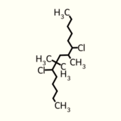 CCCCCC(Cl)C(C)CC(C)(C)C(Cl)CCCCC